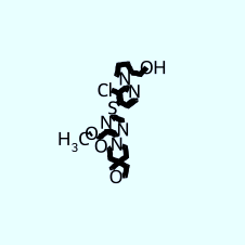 COC(=O)c1nc(Sc2ccnc(N3CCCC3CO)c2Cl)cnc1N1CCC2(CCOC2)CC1